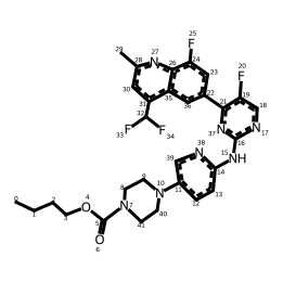 CCCCOC(=O)N1CCN(c2ccc(Nc3ncc(F)c(-c4cc(F)c5nc(C)cc(C(F)F)c5c4)n3)nc2)CC1